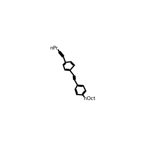 CCCC#Cc1ccc(C#Cc2ccc(CCCCCCCC)cc2)cc1